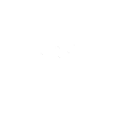 CN=C(N)N(c1cnccc1OC)c1occ2ccccc12